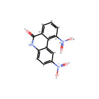 O=c1[nH]c2ccc([N+](=O)[O-])cc2c2c([N+](=O)[O-])cccc12